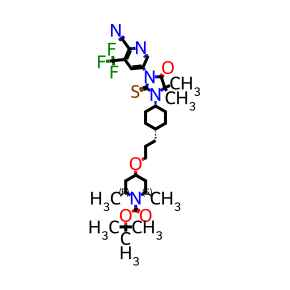 C[C@@H]1CC(OCCC[C@H]2CC[C@H](N3C(=S)N(c4cnc(C#N)c(C(F)(F)F)c4)C(=O)C3(C)C)CC2)C[C@H](C)N1C(=O)OC(C)(C)C